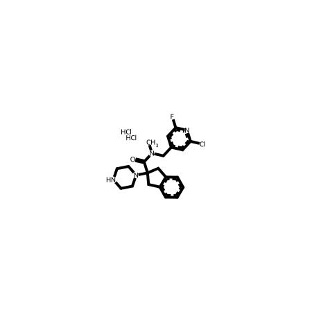 CN(Cc1cc(F)nc(Cl)c1)C(=O)C1(N2CCNCC2)Cc2ccccc2C1.Cl.Cl